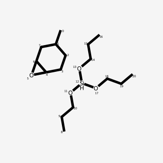 CC1CCC2OC2C1.CCCO[SiH](OCCC)OCCC